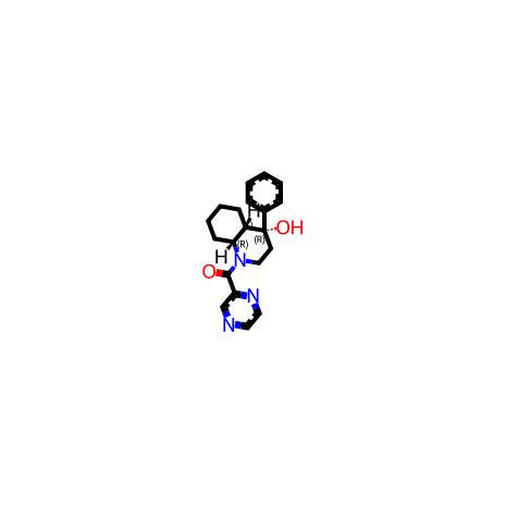 O=C(c1cnccn1)N1CC[C@](O)(c2ccccc2)[C@H]2CCCC[C@H]21